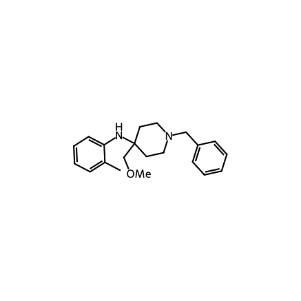 COCC1(Nc2ccccc2C)CCN(Cc2ccccc2)CC1